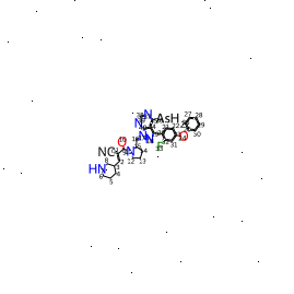 N#CC(=CC1CCCNC1)C(=O)N1CCC[C@@H]1Cn1nc(-c2ccc(Oc3ccccc3)cc2F)c2c([AsH2])ncnc21